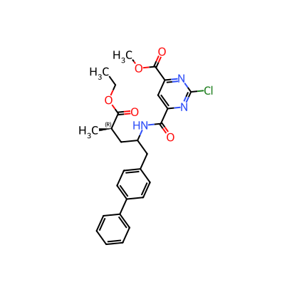 CCOC(=O)[C@H](C)CC(Cc1ccc(-c2ccccc2)cc1)NC(=O)c1cc(C(=O)OC)nc(Cl)n1